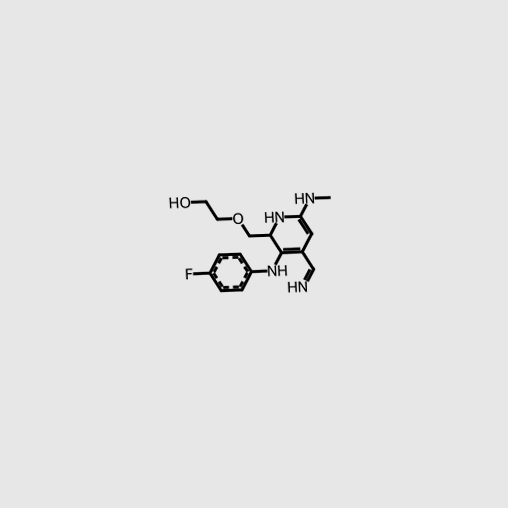 CNC1=CC(C=N)=C(Nc2ccc(F)cc2)C(COCCO)N1